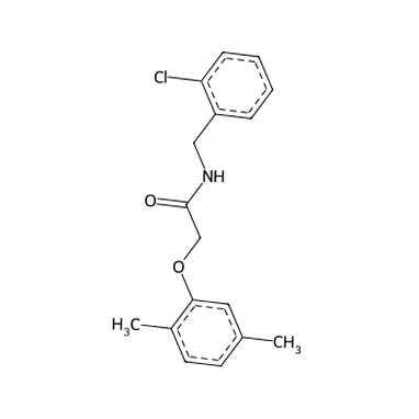 Cc1ccc(C)c(OCC(=O)NCc2ccccc2Cl)c1